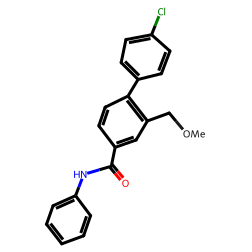 COCc1cc(C(=O)Nc2ccccc2)ccc1-c1ccc(Cl)cc1